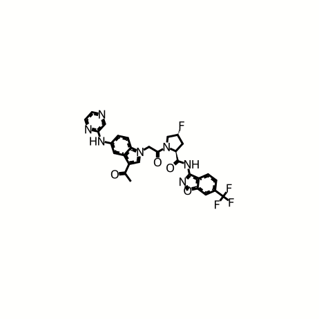 CC(=O)c1cn(CC(=O)N2C[C@H](F)C[C@H]2C(=O)Nc2noc3cc(C(F)(F)F)ccc23)c2ccc(Nc3cnccn3)cc12